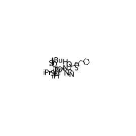 CC(C)[Si](O[C@H]1C[C@H](Nc2ncncc2C(=O)c2cc(CC3=CCCCC3)cs2)C[C@@H]1CO[Si](C)(C)C(C)(C)C)(C(C)C)C(C)C